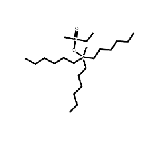 CCCCCCP(C)(CCCCCC)(CCCCCC)OP(C)(=O)CC